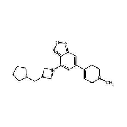 CN1CC=C(c2cc(N3CC(CN4CCCC4)C3)c3nonc3c2)CC1